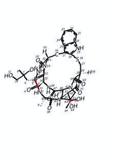 C[C@@H]1NC(=O)[C@H](CC(C)(O)CO)NC(=O)[C@@H]2Cc3c([nH]c4ccccc34)SC[C@@H](NC(=O)[C@@H]([C@H](C)O)NC1=O)C(=O)N1C[C@H](O)C[C@H]1C(=O)N[C@@H](C)C(=O)N2